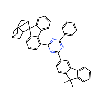 CC1(C)c2ccccc2-c2cc(-c3nc(-c4ccccc4)nc(-c4cccc5c4-c4ccccc4C54C5CC6CC(C5)C4C6)n3)ccc21